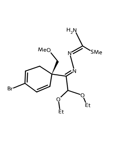 CCOC(OCC)/C(=N/N=C(/N)SC)[C@]1(COC)C=CC(Br)=CC1